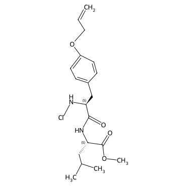 C=CCOc1ccc(C[C@H](NCl)C(=O)N[C@@H](CC(C)C)C(=O)OC)cc1